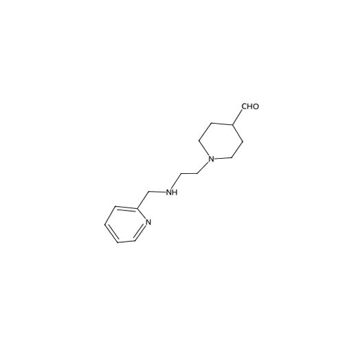 O=CC1CCN(CCNCc2ccccn2)CC1